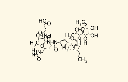 CCC[C@@H]1C[C@@H](C(=O)N[C@H](C(C)C)[C@H]2O[C@H](SC)[C@H](O)[C@@H](O)[C@H]2O)[N+](C)(Cc2ccc(NC(=O)[C@H](CCCNC(N)=O)NC(=O)[C@@H](NC(=O)CCC(=O)O)C(C)C)cc2)C1